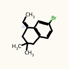 C/C=C1/CC(C)(C)Cc2ccc(Br)cc21